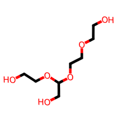 OCCOCCOC(CO)OCCO